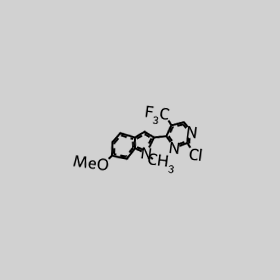 COc1ccc2cc(-c3nc(Cl)ncc3C(F)(F)F)n(C)c2c1